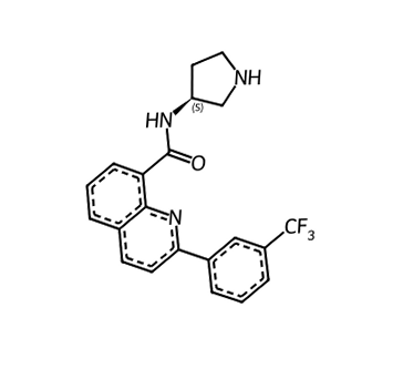 O=C(N[C@H]1CCNC1)c1cccc2ccc(-c3cccc(C(F)(F)F)c3)nc12